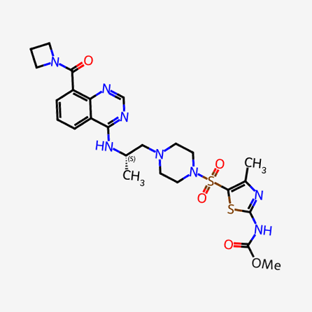 COC(=O)Nc1nc(C)c(S(=O)(=O)N2CCN(C[C@H](C)Nc3ncnc4c(C(=O)N5CCC5)cccc34)CC2)s1